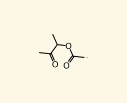 [CH2]C(=O)OC(C)C(C)=O